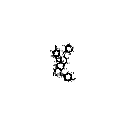 C/N=C\C1=C(Nc2ccc(F)cc2)C=C2CCN(Cc3ccncc3)CC2(Cc2ccc(F)cc2)C1